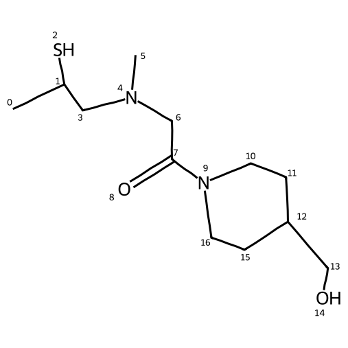 CC(S)CN(C)CC(=O)N1CCC(CO)CC1